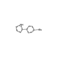 CC(C)(C)c1ccc(-c2cc[c][nH]2)cc1